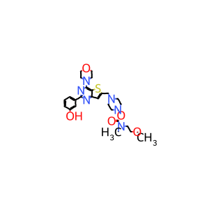 COCCN(C)C(=O)ON1CCN(Cc2cc3nc(-c4cccc(O)c4)nc(N4CCOCC4)c3s2)CC1